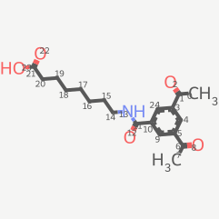 CC(=O)c1cc(C(C)=O)cc(C(=O)NCCCCCCCC(=O)O)c1